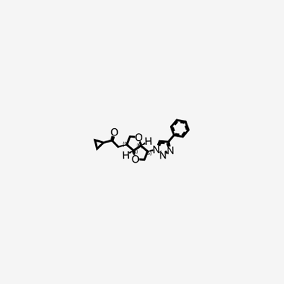 O=C(C[C@H]1CO[C@H]2[C@@H]1OC[C@@H]2n1cc(-c2ccccc2)nn1)C1CC1